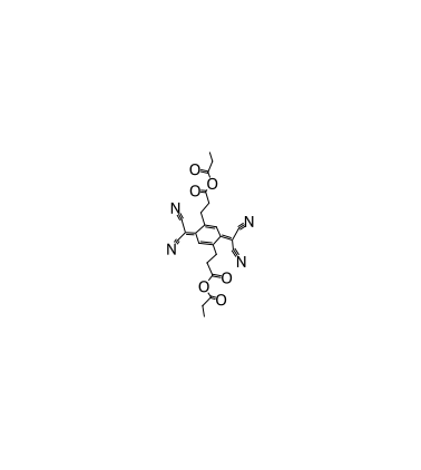 CCC(=O)OC(=O)CCc1cc(=C(C#N)C#N)c(CCC(=O)OC(=O)CC)cc1=C(C#N)C#N